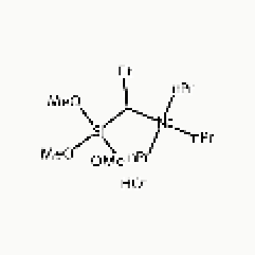 CCC[N+](CCC)(CCC)C(CC)[Si](OC)(OC)OC.[OH-]